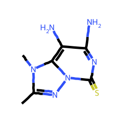 Cc1nn2c(=S)nc(N)c(N)c2n1C